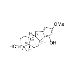 COc1cc(O)c2c(c1)C[C@H]1[C@]3(C)CC[C@@H](O)C(C)(C)[C@H]3CC[C@]21C